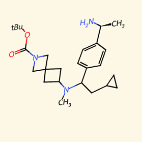 C[C@H](N)c1ccc(C(CC2CC2)N(C)C2CC3(C2)CN(C(=O)OC(C)(C)C)C3)cc1